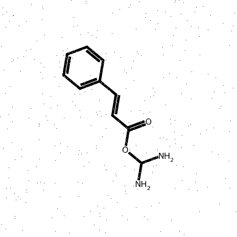 NC(N)OC(=O)C=Cc1ccccc1